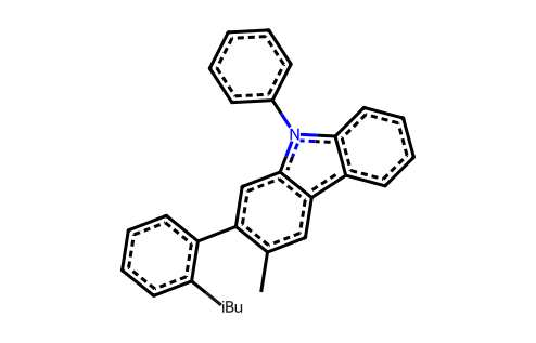 CCC(C)c1ccccc1-c1cc2c(cc1C)c1ccccc1n2-c1ccccc1